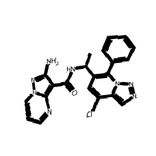 CC(NC(=O)c1c(N)nn2cccnc12)c1cc(Cl)c2cnnn2c1-c1ccccc1